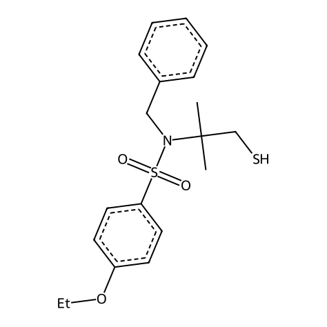 CCOc1ccc(S(=O)(=O)N(Cc2ccccc2)C(C)(C)CS)cc1